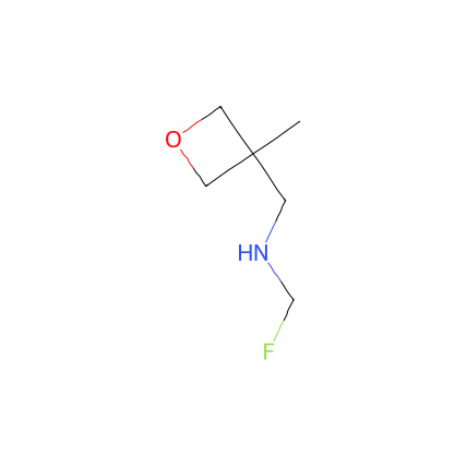 CC1(CNCF)COC1